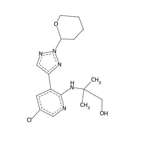 CC(C)(CO)Nc1ncc(Cl)cc1-c1cnn(C2CCCCO2)n1